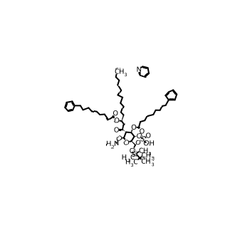 CCCCCCCCCCC[C@@H](CC(=O)[C@H]1C(ON)O[C@H](CO[Si](C)(C)C(C)(C)C)[C@@H](OS(=O)(=O)O)[C@@H]1OC(=O)CCCCCCCCc1ccccc1)OC(=O)CCCCCCCCc1ccccc1.c1ccncc1